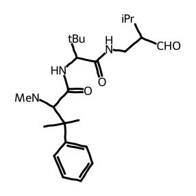 CNC(C(=O)NC(C(=O)NCC(C=O)C(C)C)C(C)(C)C)C(C)(C)c1ccccc1